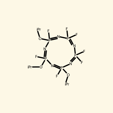 CC(C)OP1(F)=NP(F)(F)=NP(F)(F)=NP(F)(OC(C)C)=NP(F)(OC(C)C)=N1